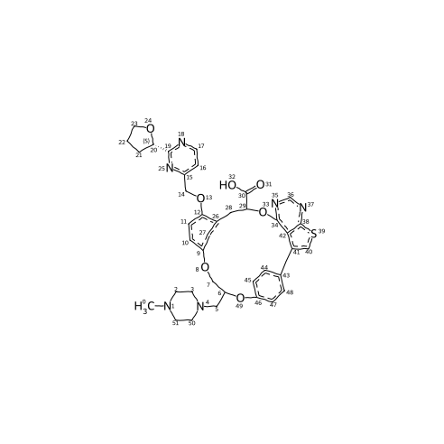 CN1CCN(CC2COc3ccc(OCc4ccnc([C@@H]5CCCO5)n4)c(c3)CC(C(=O)O)Oc3ncnc4scc(c34)-c3ccc(cc3)O2)CC1